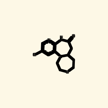 O=C1CC2CCOCCN2c2cc(Cl)cnc2N1